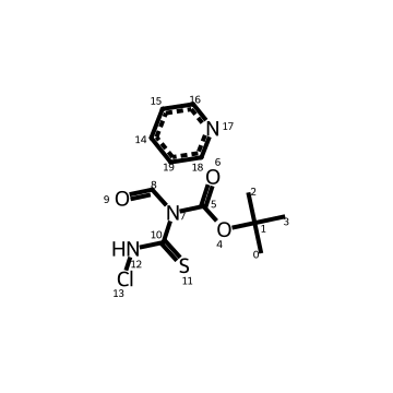 CC(C)(C)OC(=O)N(C=O)C(=S)NCl.c1ccncc1